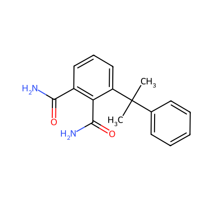 CC(C)(c1ccccc1)c1cccc(C(N)=O)c1C(N)=O